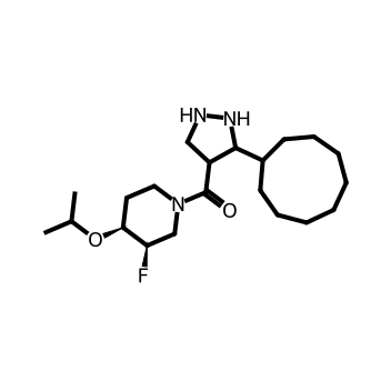 CC(C)O[C@H]1CCN(C(=O)C2CNNC2C2CCCCCCCC2)C[C@H]1F